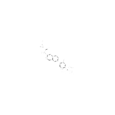 Cc1cc(C(O)(O)C(F)(F)F)ncc1-c1ccc2cc(NC(=O)[C@@H]3C[C@@H]3F)ncc2c1